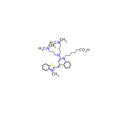 CN(C)CCCN(CCCN(C)C)C1=C/C(=C\c2sc3ccccc3[n+]2C)c2ccccc2N1CCCCCC(=O)O